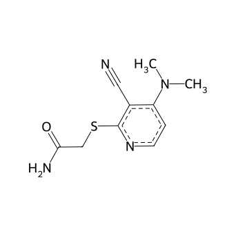 CN(C)c1ccnc(SCC(N)=O)c1C#N